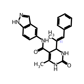 CC1=C(C(=O)Nc2ccc3[nH]ncc3c2)C(/C(C)=C/c2ccccc2)NC(=O)N1